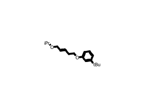 CC(C)OC/C=C/CCOc1cccc(C(C)(C)C)c1